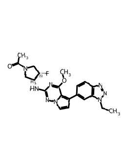 CCn1nnc2ccc(-c3ccn4nc(N[C@@H]5CN(C(C)=O)C[C@@H]5F)nc(OC)c34)cc21